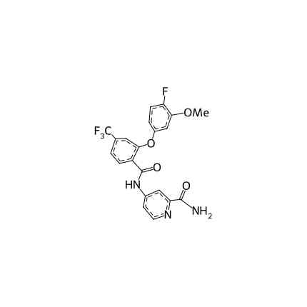 COc1cc(Oc2cc(C(F)(F)F)ccc2C(=O)Nc2ccnc(C(N)=O)c2)ccc1F